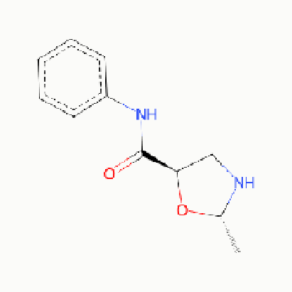 C[C@H]1NC[C@H](C(=O)Nc2ccccc2)O1